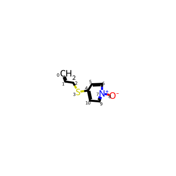 C=CCSc1cc[n+]([O-])cc1